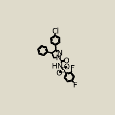 O=C(NS(=O)(=O)c1ccc(F)cc1F)N1CC(c2ccccc2)C(c2ccc(Cl)cc2)=N1